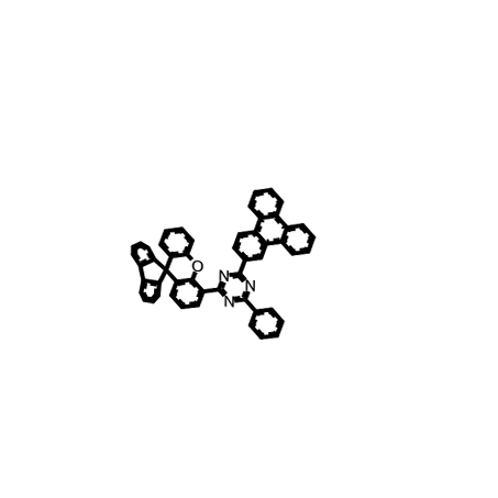 c1ccc(-c2nc(-c3ccc4c5ccccc5c5ccccc5c4c3)nc(-c3cccc4c3Oc3ccccc3C43c4ccccc4-c4ccccc43)n2)cc1